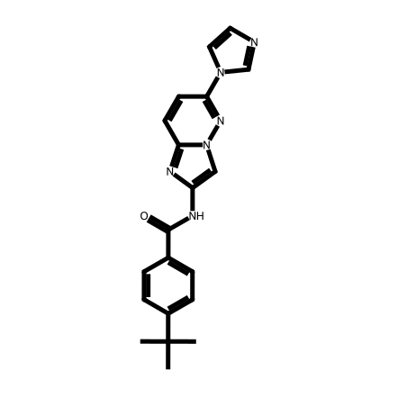 CC(C)(C)c1ccc(C(=O)Nc2cn3nc(-n4ccnc4)ccc3n2)cc1